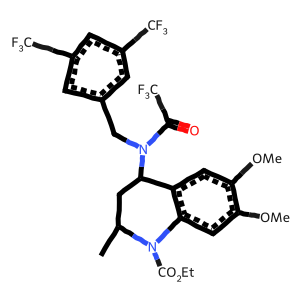 CCOC(=O)N1c2cc(OC)c(OC)cc2C(N(Cc2cc(C(F)(F)F)cc(C(F)(F)F)c2)C(=O)C(F)(F)F)CC1C